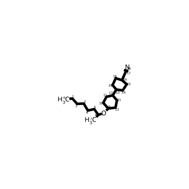 CCCCCCC(C)OC1CCC(C2CCC(C#N)CC2)CC1